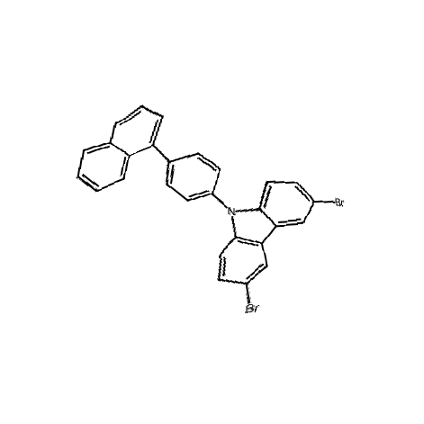 Brc1ccc2c(c1)c1cc(Br)ccc1n2-c1ccc(-c2cccc3ccccc23)cc1